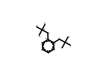 CC(C)(C)Cc1ccccc1CC(C)(C)C